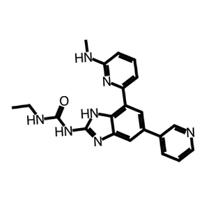 CCNC(=O)Nc1nc2cc(-c3cccnc3)cc(-c3cccc(NC)n3)c2[nH]1